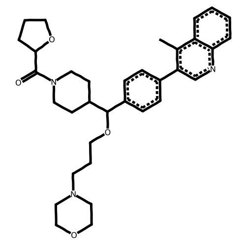 Cc1c(-c2ccc(C(OCCCN3CCOCC3)C3CCN(C(=O)C4CCCO4)CC3)cc2)cnc2ccccc12